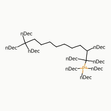 CCCCCCCCCCC(CCCCCCCC(CCCCCCCCCC)(CCCCCCCCCC)CCCCCCCCCC)C(CCCCCCCCCC)(CCCCCCCCCC)[P+](CCCCCCCCCC)(CCCCCCCCCC)CCCCCCCCCC